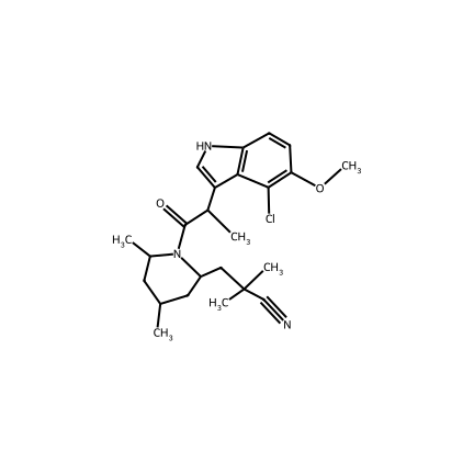 COc1ccc2[nH]cc(C(C)C(=O)N3C(C)CC(C)CC3CC(C)(C)C#N)c2c1Cl